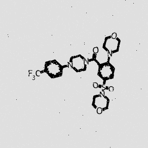 O=C(c1cc(S(=O)(=O)N2CCOCC2)ccc1N1CCOCC1)N1CCN(c2ccc(C(F)(F)F)cc2)CC1